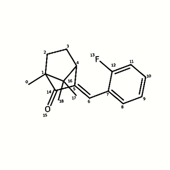 CC12CCC(C(=Cc3ccccc3F)C1=O)C2(C)C